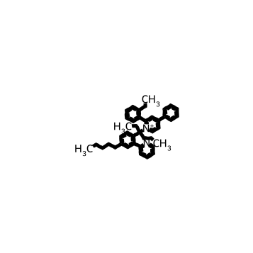 CCCCCc1ccc(C(CC)(CCC)[n+]2ccc(-c3ccccc3)cc2-c2ccccc2CC)c(-c2ccccn2)c1